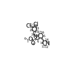 CCOC(=O)c1cc2c(-c3cccnc3)cccc2n1Cc1ccc(Cl)c(Cl)c1